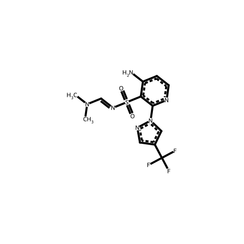 CN(C)C=NS(=O)(=O)c1c(N)ccnc1-n1cc(C(F)(F)F)cn1